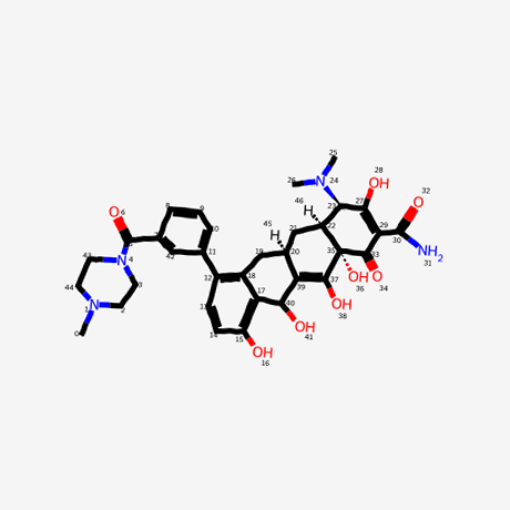 CN1CCN(C(=O)c2cccc(-c3ccc(O)c4c3C[C@H]3C[C@H]5[C@@H](N(C)C)C(O)=C(C(N)=O)C(=O)[C@@]5(O)C(O)=C3C4O)c2)CC1